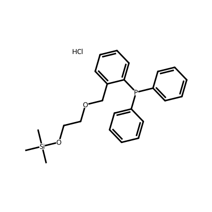 C[Si](C)(C)OCCOCc1ccccc1P(c1ccccc1)c1ccccc1.Cl